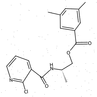 Cc1cc(C)cc(C(=O)OC[C@H](C)NC(=O)c2cccnc2Cl)c1